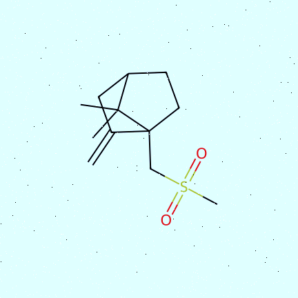 C=C1CC2CCC1(CS(C)(=O)=O)C2(C)C